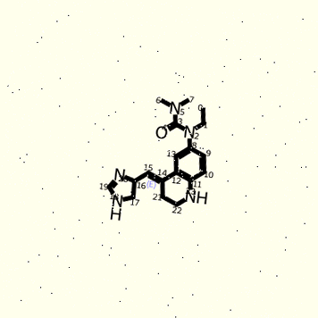 CCN(C(=O)N(C)C)c1ccc2c(c1)/C(=C/C1CNC=N1)CCN2